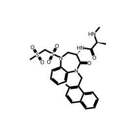 CN[C@@H](C)C(=O)N[C@H]1CN(S(=O)(=O)CS(C)(=O)=O)c2ccccc2N(Cc2c(C)ccc3ccccc23)C1=O